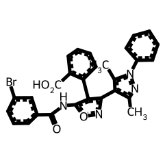 Cc1nn(-c2ccccc2)c(C)c1-c1noc(NC(=O)c2cccc(Br)c2)c1-c1ccccc1C(=O)O